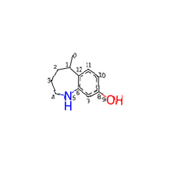 CC1CCCNc2cc(O)ccc21